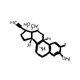 C#C[C@]1(O)CC[C@H]2[C@@H]3CCc4cc(O)c(F)cc4[C@H]3CC[C@@]21C